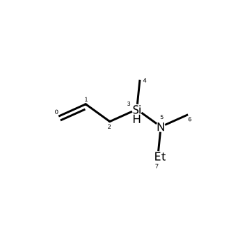 C=CC[SiH](C)N(C)CC